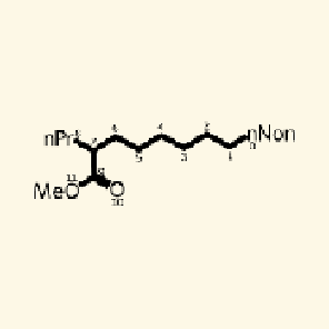 CCCCCCCCCCCCCCCC(CCC)C(=O)OC